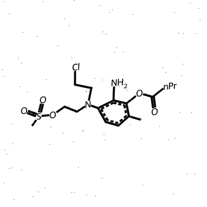 CCCC(=O)Oc1c(C)ccc(N(CCCl)CCOS(C)(=O)=O)c1N